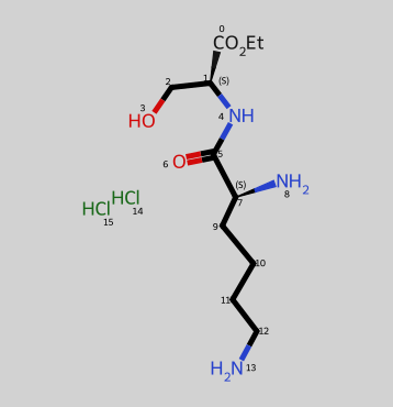 CCOC(=O)[C@H](CO)NC(=O)[C@@H](N)CCCCN.Cl.Cl